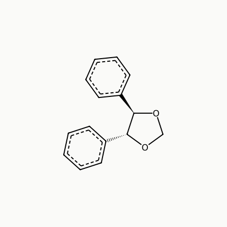 c1ccc([C@H]2OCO[C@@H]2c2ccccc2)cc1